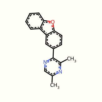 Cc1cnc(-c2ccc3oc4ccccc4c3c2)c(C)n1